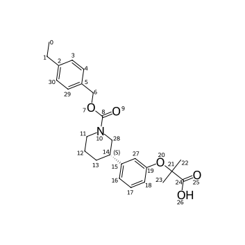 CCc1ccc(COC(=O)N2CCC[C@@H](c3cccc(OC(C)(C)C(=O)O)c3)C2)cc1